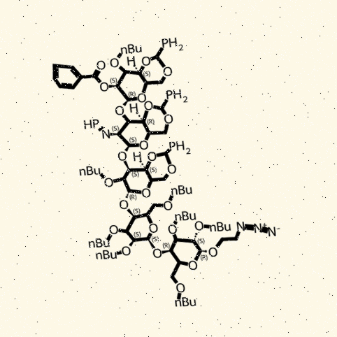 CCCCOCC1O[C@@H](OCCN=[N+]=[N-])[C@@H](OCCCC)C(OCCCC)[C@@H]1O[C@@H]1OC(COCCCC)[C@H](O[C@H]2OC3COC(P)O[C@@H]3[C@H](O[C@@H]3OC4COC(P)O[C@@H]4C(O[C@@H]4OC5COC(P)O[C@@H]5C(OCCCC)[C@@H]4OC(=O)c4ccccc4)[C@@H]3N=P)C2OCCCC)C(OCCCC)[C@@H]1OCCCC